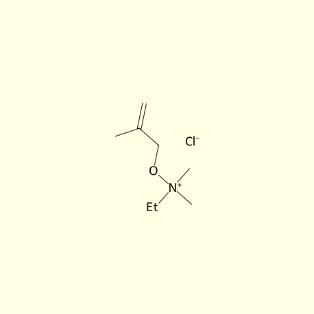 C=C(C)CO[N+](C)(C)CC.[Cl-]